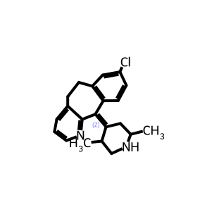 CC1C/C(=C2\c3ccc(Cl)cc3CCc3cccnc32)C(C)CN1